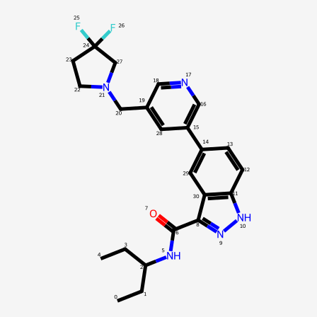 CCC(CC)NC(=O)c1n[nH]c2ccc(-c3cncc(CN4CCC(F)(F)C4)c3)cc12